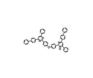 C1=C(c2ccccc2)NC(c2ccc(Oc3ccc(-c4nc(-c5ccccc5)cc(-c5ccc(-c6ccccc6)cc5)n4)cc3)cc2)N=C1c1ccc(-c2ccccc2)cc1